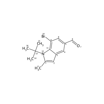 Cc1cc2cc(C=O)cc(Br)c2n1C(C)(C)C